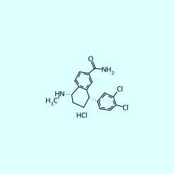 CN[C@H]1CC[C@@H](c2ccc(Cl)c(Cl)c2)c2cc(C(N)=O)ccc21.Cl